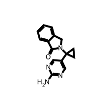 Nc1ncc(C2(N3Cc4ccccc4C3=O)CC2)cn1